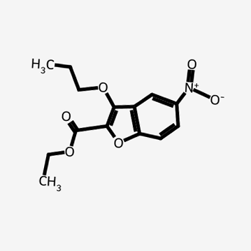 CCCOc1c(C(=O)OCC)oc2ccc([N+](=O)[O-])cc12